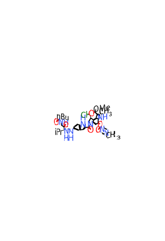 CCCCC(=O)NCC(=O)[C@@H](NCNc1ccc2[nH]c(C(=O)N3C[C@@H](CCl)c4c3cc(OC(=O)N3CCN(C)CC3)c3[nH]c(C)c(C(=O)OC)c43)cc2c1)C(C)C